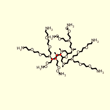 CN(CCN(CCOCCOCCN)CCOCCOCCN)CC(CN(C)CCN(CCOCCOCCN)CCOCCOCCN)OC(CN(C)CCN(CCOON)CCOON)CN(C)CCN(CCOON)CCOON